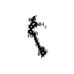 CCOC(=O)C1=Cc2ccc(-c3cccc(C(=O)NCCOCCOCCC(=O)Oc4c(F)c(F)cc(F)c4F)c3)cc2N=C(N)C1